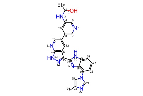 CCC(O)Nc1cncc(-c2cnc3[nH]nc(-c4nc5c(-n6cnc(C)c6)cccc5[nH]4)c3c2)c1